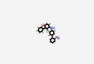 O=Nc1ccccc1-c1ccc(Nc2ccc3oc4ccccc4c3c2Cl)cc1